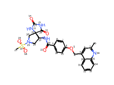 Cc1cc(COc2ccc(C(=O)NC3CN(S(C)(=O)=O)CC34NC(=O)NC4=O)cc2)c2ccccc2n1